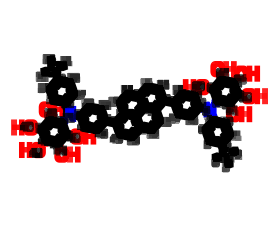 C[Si](C)(C)c1ccc(N(c2ccc(-c3ccc4ccc5c(-c6ccc(N(c7ccc([Si](C)(C)C)cc7)c7c(O)c(O)c(O)c(O)c7O)cc6)ccc6ccc3c4c65)cc2)c2c(O)c(O)c(O)c(O)c2O)cc1